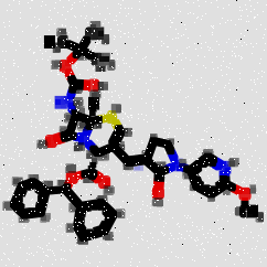 COc1ccc(N2CC/C(=C\C3=CS[C@@H]4[C@H](NC(=O)OC(C)(C)C)C(=O)N4[C@H]3C(=O)OC(c3ccccc3)c3ccccc3)C2=O)cn1